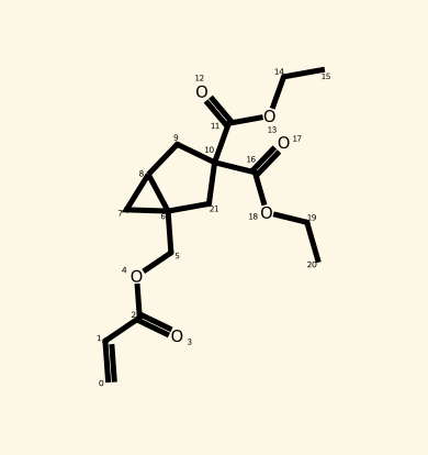 C=CC(=O)OCC12CC1CC(C(=O)OCC)(C(=O)OCC)C2